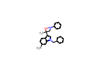 O=[N+]([O-])c1ccc2c(C(O)(CNc3ccccc3)C(F)(F)F)cn(Cc3ccccc3)c2c1